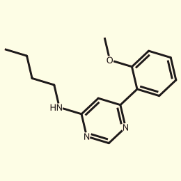 CCCCNc1cc(-c2ccccc2OC)ncn1